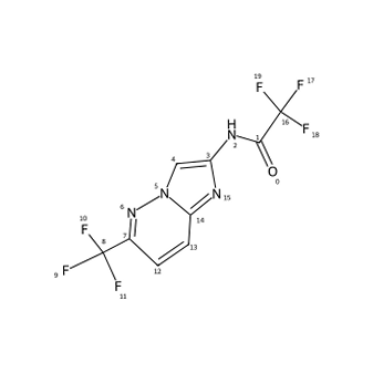 O=C(Nc1cn2nc(C(F)(F)F)ccc2n1)C(F)(F)F